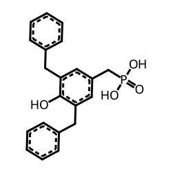 O=P(O)(O)Cc1cc(Cc2ccccc2)c(O)c(Cc2ccccc2)c1